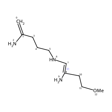 C=C(N)CCCN/C=C(\N)CCOC